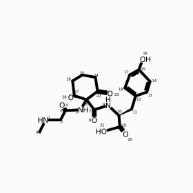 CNCC(=O)NC1(C(=O)N[C@@H](Cc2ccc(O)cc2)C(=O)O)C(=O)CCCC1=O